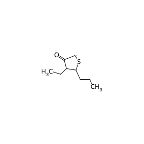 CCCC1S[CH]C(=O)C1CC